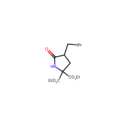 CCOC(=O)C1(C(=O)OCC)CC(CC(C)C)C(=O)N1